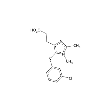 Cc1nc(CCC(=O)O)c(Sc2cccc(Cl)c2)n1C